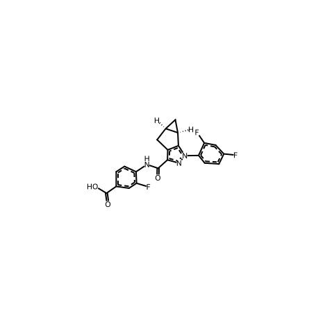 O=C(O)c1ccc(NC(=O)c2nn(-c3ccc(F)cc3F)c3c2C[C@H]2C[C@@H]32)c(F)c1